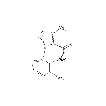 Cc1cccc2c1[nH]c(=O)c1c(C)cnn12